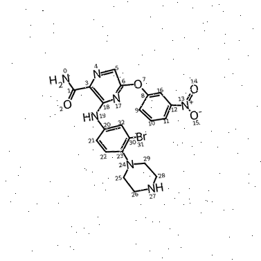 NC(=O)c1ncc(Oc2cccc([N+](=O)[O-])c2)nc1Nc1ccc(N2CCNCC2)c(Br)c1